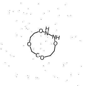 C1COCCONNOCCO1